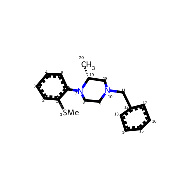 CSc1ccccc1N1CCN(Cc2ccccc2)C[C@H]1C